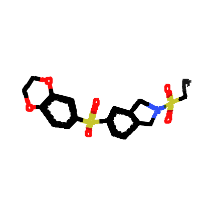 CC(C)CS(=O)(=O)N1Cc2ccc(S(=O)(=O)c3ccc4c(c3)OCCO4)cc2C1